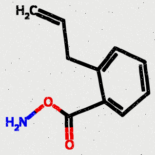 C=CCc1ccccc1C(=O)ON